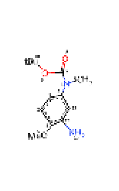 COc1ccc(N(C)C(=O)OC(C)(C)C)cc1N